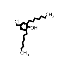 CCCCCCCc1cc(CCl)cc(CCCCCCC)c1O